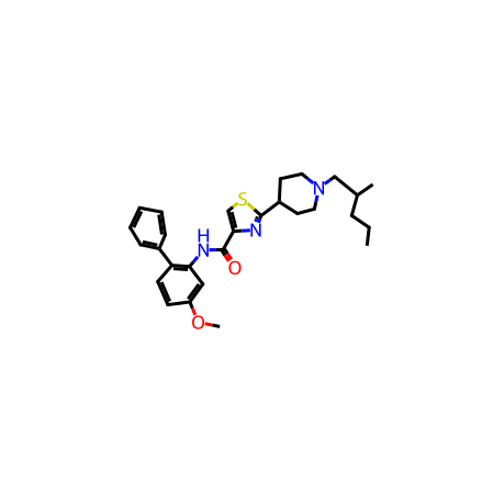 CCCC(C)CN1CCC(c2nc(C(=O)Nc3cc(OC)ccc3-c3ccccc3)cs2)CC1